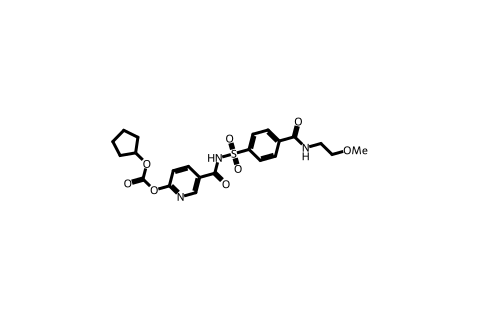 COCCNC(=O)c1ccc(S(=O)(=O)NC(=O)c2ccc(OC(=O)OC3CCCC3)nc2)cc1